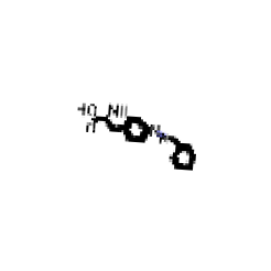 N[C@@H](Cc1ccc(/N=N/Cc2ccccc2)cc1)C(=O)O